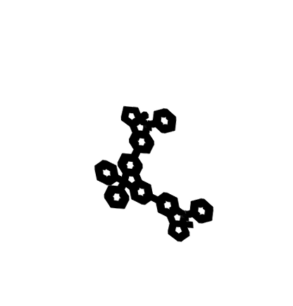 CC12CCCC1c1cc(-c3ccc4c(c3)-c3cc(-c5ccc6c(c5)C5CCCC5(C)N6c5ccccc5)ccc3C4(c3ccccc3)c3ccccc3)ccc1N2c1ccccc1